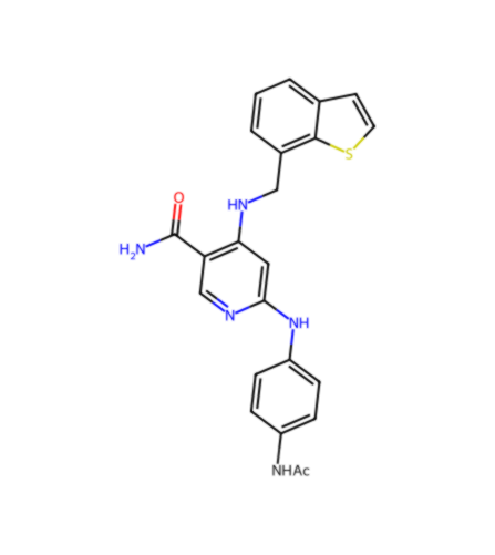 CC(=O)Nc1ccc(Nc2cc(NCc3cccc4ccsc34)c(C(N)=O)cn2)cc1